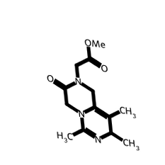 COC(=O)CN1CC2=C(C)C(C)N=C(C)N2CC1=O